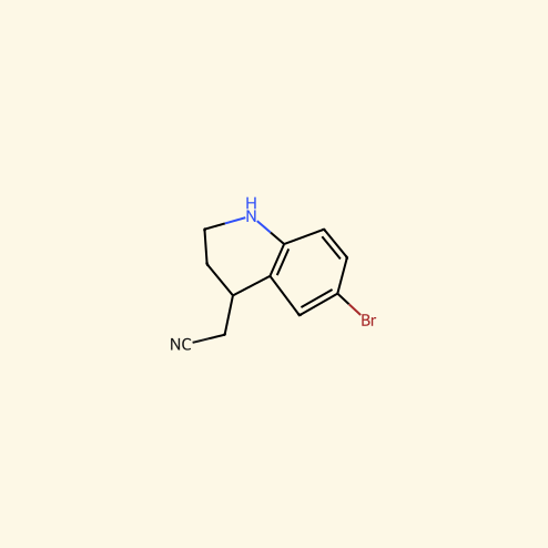 N#CCC1CCNc2ccc(Br)cc21